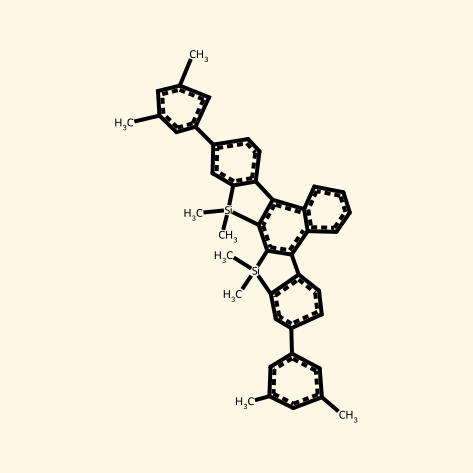 Cc1cc(C)cc(-c2ccc3c(c2)[Si](C)(C)c2c4c(c5ccccc5c2-3)-c2ccc(-c3cc(C)cc(C)c3)cc2[Si]4(C)C)c1